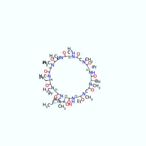 C/C=C/C[C@@H](C)[C@@H](O)[C@H]1C(=O)N[C@@H](CC)C(=O)N(C)CC(=O)N(C)C(C(C)CC)C(=O)N[C@@H](C(C)C)C(=O)N(C)CC(=O)N[C@@H](C)C(=O)N[C@H](C)C(=O)N(C)[C@@H](CC(C)C)C(=O)N(C)[C@H](CC(C)C)C(=O)N(C)[C@@H](C(C)C)C(=O)N1C